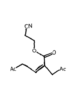 CC(=O)CC=C(CC(C)=O)C(=O)OCCC#N